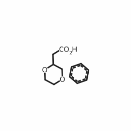 O=C(O)CC1COCCO1.c1ccccc1